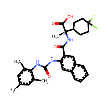 Cc1cc(C)c(NC(=O)Nc2cc3ccccc3cc2C(=O)N[C@](C)(C(=O)O)C2CCC(F)(F)CC2)c(C)c1